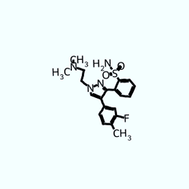 Cc1ccc(-c2cn(CCN(C)C)nc2-c2ccccc2S(N)(=O)=O)cc1F